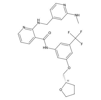 CNc1cc(CNc2ncccc2C(=O)Nc2cc(OC[C@@H]3CCCO3)cc(C(F)(F)F)c2)ccn1